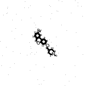 CN1CCC(COc2ccc3c(c2)OCc2ccc(Br)cc2-3)CC1